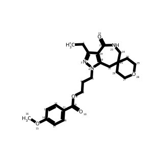 CCc1nn(CCCOC(=O)c2ccc(OC)cc2)c2c1C(=O)NCC1(CCOCC1)C2